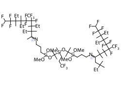 CCC(C)(C)C/C(=N\CCC[Si](OC)(OC)C(C)(C)O[Si](C)(CCC(F)(F)F)C(C)(C)O[Si](CCC/N=C(\C)C(C)(CC)C(C)(CC)C(F)(C(F)(F)F)C(F)(F)C(C)(CC)C(C)(CC)C(F)(F)C(F)F)(OC)OC)C(C)(C)C(C)(C)C(F)(C(F)(F)F)C(F)(F)C(C)(CC)C(C)(CC)C(F)(F)C(F)F